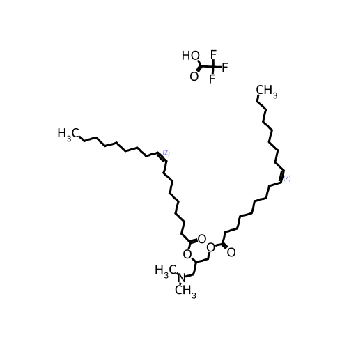 CCCCCCCC/C=C\CCCCCCCC(=O)OCC(CN(C)C)OC(=O)CCCCCCC/C=C\CCCCCCCC.O=C(O)C(F)(F)F